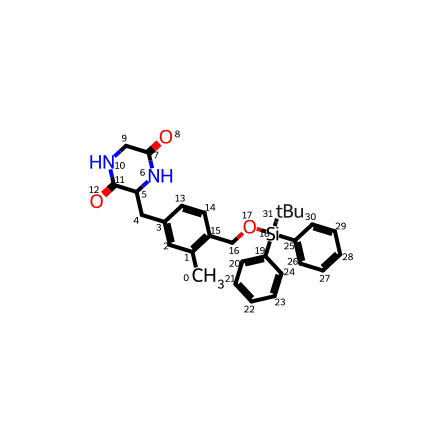 Cc1cc(CC2NC(=O)CNC2=O)ccc1CO[Si](c1ccccc1)(c1ccccc1)C(C)(C)C